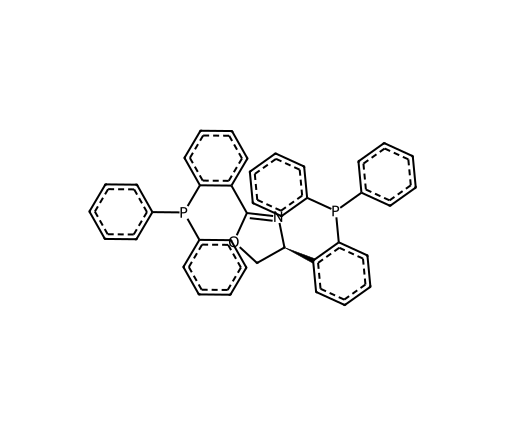 c1ccc(P(c2ccccc2)c2ccccc2C2=N[C@@H](c3ccccc3P(c3ccccc3)c3ccccc3)CO2)cc1